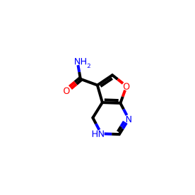 NC(=O)c1coc2c1CNC=N2